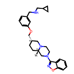 c1cc(CNCC2CC2)cc(OC[C@H]2CC[C@H]3CN(c4noc5ccccc45)CCN3C2)c1